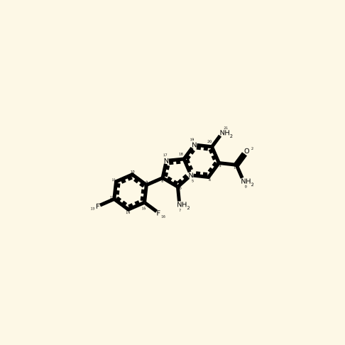 NC(=O)c1cn2c(N)c(-c3ccc(F)cc3F)nc2nc1N